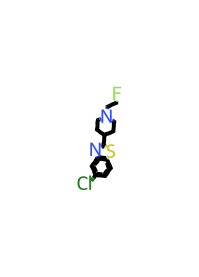 FCCN1CCC(c2nc3cc(Cl)ccc3s2)CC1